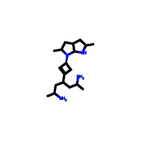 CC(N)CC(CC(C)N)C1=C[C@@H](N2C(C)CC3CC(C)NC32)C1